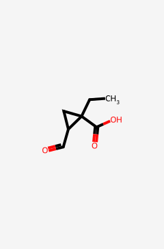 CCC1(C(=O)O)CC1C=O